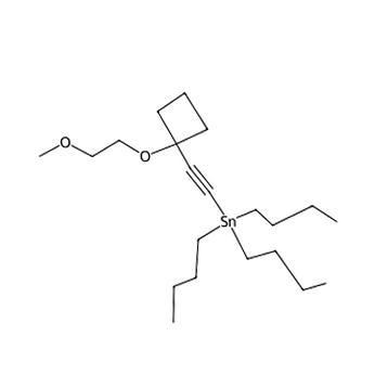 CCC[CH2][Sn]([C]#CC1(OCCOC)CCC1)([CH2]CCC)[CH2]CCC